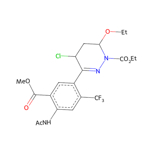 CCOC(=O)N1N=C(c2cc(C(=O)OC)c(NC(C)=O)cc2C(F)(F)F)C(Cl)CC1OCC